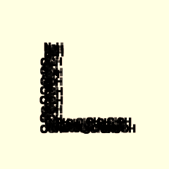 O=[Si](O)O.O=[Si](O)O.O=[Si](O)O.O=[Si](O)O.O=[Si](O)O.O=[Si](O)O.O=[Si](O)O.O=[Si](O)O.O=[Si](O)O.O=[Si](O)O.O=[Si](O)O.O=[Si](O)O.O=[Si](O)O.O=[Si](O)O.O=[Si](O)O.[NaH].[NaH].[NaH]